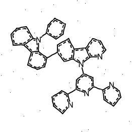 c1ccc(-n2c3ccccc3c3cccc(-c4ccc5c6cccnc6n(-c6cc(-c7ccccn7)nc(-c7ccccn7)c6)c5c4)c32)cc1